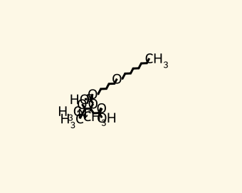 CCCCCCCCOCCCCCOP(O)OC(CC(=O)O)C([O-])[N+](C)(C)C